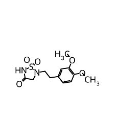 COc1ccc(CCN2CC(=O)NS2(=O)=O)cc1OC